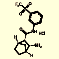 Cl.N[C@@H]1[C@H]2CC[C@H](C2)[C@@H]1C(=O)Nc1cccc(S(=O)(=O)C(F)(F)F)c1